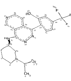 CC(C)N1CCC[C@@H](Nc2nnc(-c3ccc(C(F)(F)F)cc3O)c3ccncc23)C1